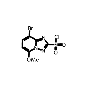 COc1ccc(Br)c2nc(S(=O)(=O)Cl)nn12